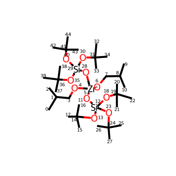 CC(C)C[O][Zr]([O]CC(C)C)([O][Si](OC(C)(C)C)(OC(C)(C)C)OC(C)(C)C)[O][Si](OC(C)(C)C)(OC(C)(C)C)OC(C)(C)C